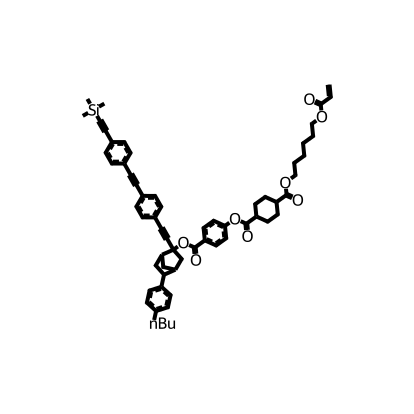 C=CC(=O)OCCCCCCOC(=O)C1CCC(C(=O)Oc2ccc(C(=O)OC3(C#Cc4ccc(C#Cc5ccc(C#C[Si](C)(C)C)cc5)cc4)CC4CC3CC4c3ccc(CCCC)cc3)cc2)CC1